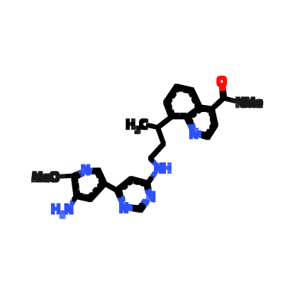 CNC(=O)c1ccnc2c(C(C)CCNc3cc(-c4cnc(OC)c(N)c4)ncn3)cccc12